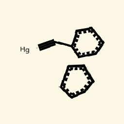 [C]#Cc1ccccc1.[Hg].[c]1ccccc1